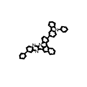 c1ccc(-c2ccc3nc4c(nc3c2)c2cc3ccccc3c3c5cc(-c6ccc7c(c6)c6ccccc6n7-c6ccccc6)ccc5n4c23)cc1